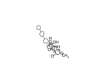 COc1cc(Cl)nc(N[C@H]2[C@H]3OC[C@](C4CCC(C5CCC(C6CCCC6)CC5)CC4)(O3)[C@H](O)[C@@H]2O)n1